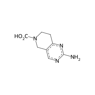 Nc1ncc2c(n1)CCN(C(=O)O)C2